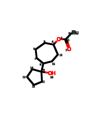 CCC(C)C(=O)OC1CCCC(C2(O)CCCC2)CC1